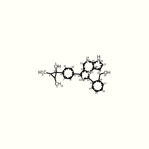 CC1C(C)C1(O)c1ccc(-c2nc(-c3ccccc3CO)n3c2cnc2[nH]ccc23)cc1